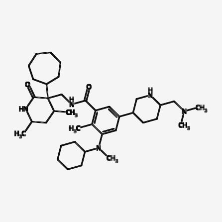 Cc1c(C(=O)NCC2(C3CCCCCC3)C(=O)NC(C)CC2C)cc(C2CCC(CN(C)C)NC2)cc1N(C)C1CCCCC1